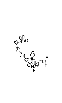 O=C1CCN(c2cccc(CN3CCC(N4CCN(c5ccc(C(=O)Nc6n[nH]c7ccc(Cc8cc(F)cc(F)c8)cc67)c(NC6CCOCC6)c5)CC4)CC3)c2)C(=O)N1